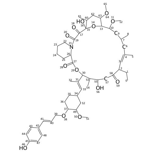 CCC1/C=C(\C)CC(C)CC(OC)C2OC(O)(C(=O)C(=O)N3CCCCC3C(=O)OC(C(C)=CC3CCC(OCC=Cc4ccc(O)cc4)C(OC)C3)C(C)C(O)CC1=O)C(C)CC2OC